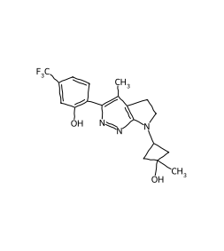 Cc1c(-c2ccc(C(F)(F)F)cc2O)nnc2c1CCN2C1CC(C)(O)C1